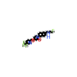 O=c1cc(OCc2ccc(C(F)(F)F)cn2)ccn1C1=Cc2ccc(CNCCF)cc2CC1